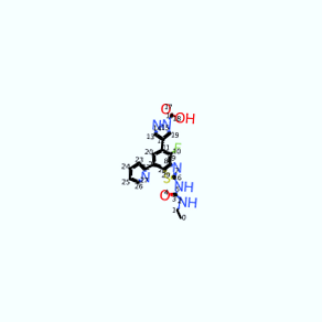 CCNC(=O)Nc1nc2c(F)c(-c3cnn(C(=O)O)c3)cc(-c3ccccn3)c2s1